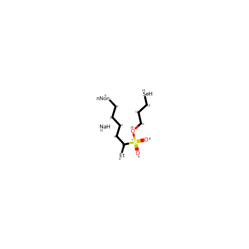 CCCCCCCCCCCCCC(CC)S(=O)(=O)OCCC[SeH].[NaH]